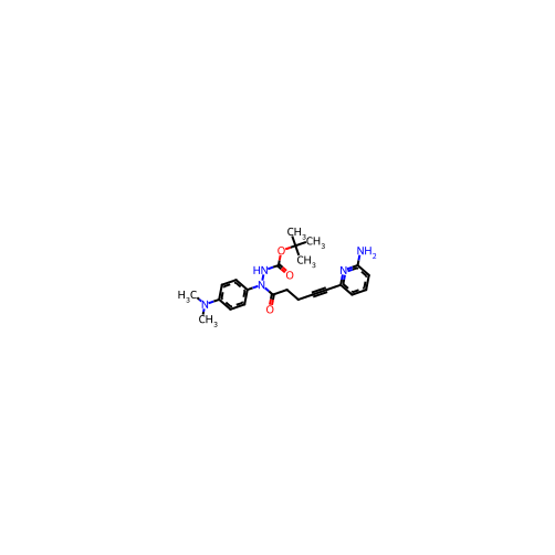 CN(C)c1ccc(N(NC(=O)OC(C)(C)C)C(=O)CCC#Cc2cccc(N)n2)cc1